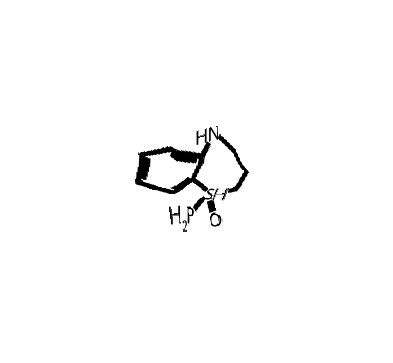 O=[SH]1(P)CCCNc2ccccc21